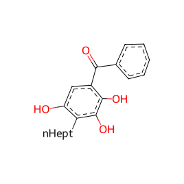 CCCCCCCc1c(O)cc(C(=O)c2ccccc2)c(O)c1O